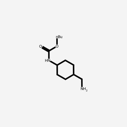 CCCCOC(=O)NC1CCC(CN)CC1